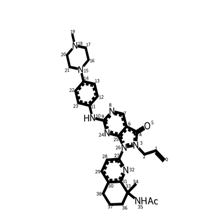 C=CCn1c(=O)c2cnc(Nc3ccc(N4CCN(C)CC4)cc3)nc2n1-c1ccc2c(n1)C(C)(NC(C)=O)CCC2